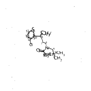 CC(C)(C)CN(CCC(O)c1scnc1Cl)C(=O)O